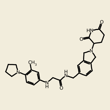 Cc1cc(NCC(=O)NCc2ccc3c(c2)CN(C2CCC(=O)NC2=O)C3)ccc1N1CCCC1